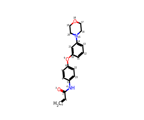 C=CC(=O)Nc1ccc(Oc2cccc(N3CCOCC3)c2)cc1